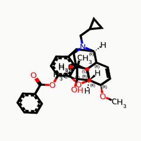 CO[C@]12C=C[C@@]3(C[C@@H]1[C@](C)(O)C(C)(C)C)[C@H]1Cc4ccc(OC(=O)c5ccccc5)c5c4[C@@]3(CCN1CC1CC1)[C@H]2O5